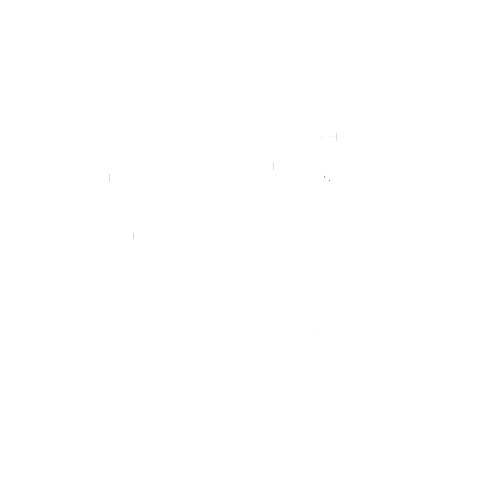 COc1c2c(cc3c1C(CC(=O)c1ccc(O)c(C)c1)[N+](C)(C)CC3)OCO2